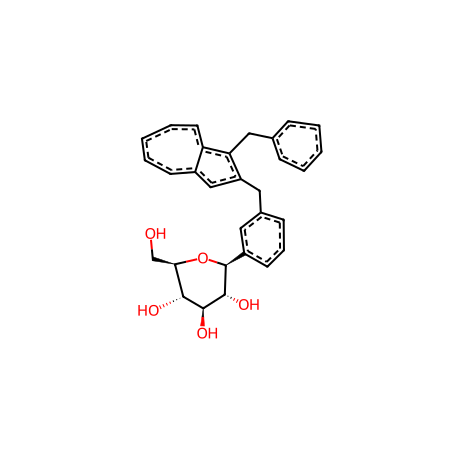 OC[C@H]1O[C@@H](c2cccc(Cc3cc4cccccc-4c3Cc3ccccc3)c2)[C@H](O)[C@@H](O)[C@@H]1O